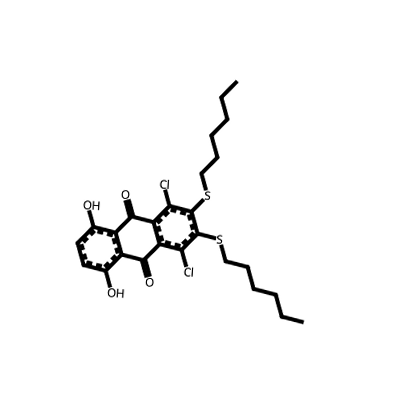 CCCCCCSc1c(Cl)c2c(c(Cl)c1SCCCCCC)C(=O)c1c(O)ccc(O)c1C2=O